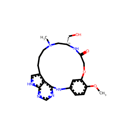 COc1ccc2cc1OCC(=O)N[C@@H](CO)CN(C)CCCc1c[nH]c3ncnc(c13)N2